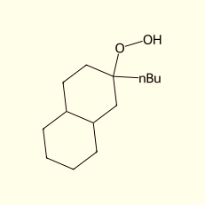 CCCCC1(OO)CCC2CCCCC2C1